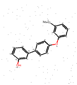 COc1cccc(Oc2ccc(-c3cccc(O)c3)cc2)c1